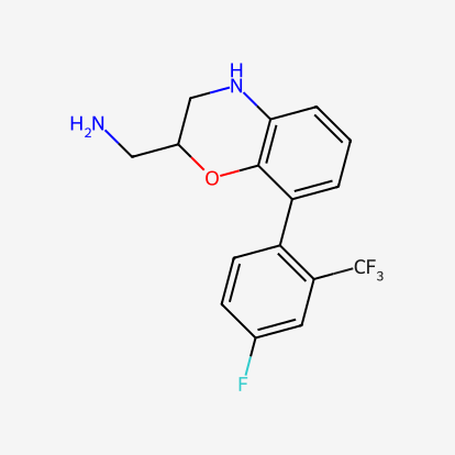 NCC1CNc2cccc(-c3ccc(F)cc3C(F)(F)F)c2O1